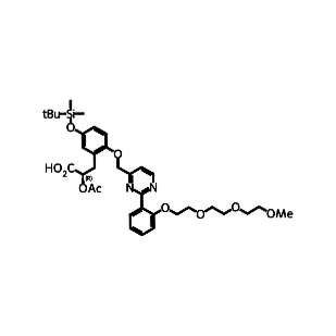 COCCOCCOCCOc1ccccc1-c1nccc(COc2ccc(O[Si](C)(C)C(C)(C)C)cc2C[C@@H](OC(C)=O)C(=O)O)n1